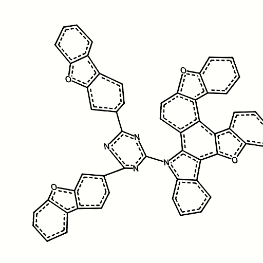 c1ccc2c(c1)oc1cc(-c3nc(-c4ccc5c(c4)oc4ccccc45)nc(-n4c5ccccc5c5c6oc7ccccc7c6c6c(ccc7oc8ccccc8c76)c54)n3)ccc12